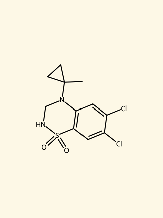 CC1(N2CNS(=O)(=O)c3cc(Cl)c(Cl)cc32)CC1